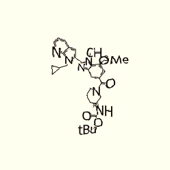 COc1cc(C(=O)N2CCC[C@@H](NC(=O)OC(C)(C)C)C2)cc2nc(-c3cc4cccnc4n3CC3CC3)n(C)c12